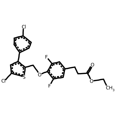 CCOC(=O)CCc1cc(F)c(OCc2sc(Cl)cc2-c2ccc(Cl)cc2)c(F)c1